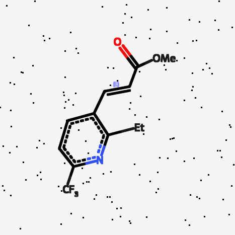 CCc1nc(C(F)(F)F)ccc1/C=C/C(=O)OC